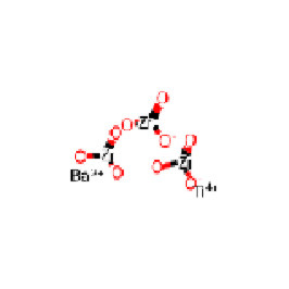 [Ba+2].[O]=[Zr]([O-])[O-].[O]=[Zr]([O-])[O-].[O]=[Zr]([O-])[O-].[Ti+4]